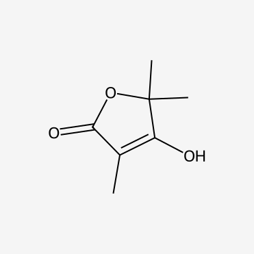 CC1=C(O)C(C)(C)OC1=O